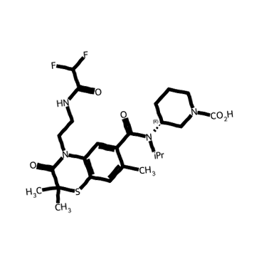 Cc1cc2c(cc1C(=O)N(C(C)C)[C@@H]1CCCN(C(=O)O)C1)N(CCNC(=O)C(F)F)C(=O)C(C)(C)S2